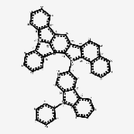 c1ccc(-n2c3ccccc3c3cc(-n4c5c6ccccc6ccc5c5cc6c7ccccc7n7c8ccccc8c(c54)c67)ncc32)cc1